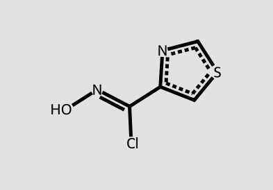 ON=C(Cl)c1cscn1